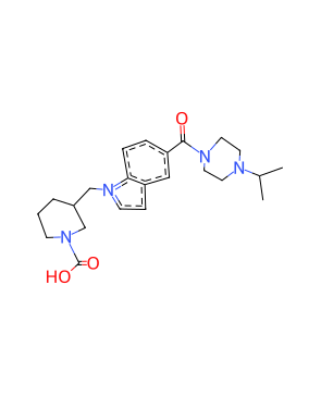 CC(C)N1CCN(C(=O)c2ccc3c(ccn3CC3CCCN(C(=O)O)C3)c2)CC1